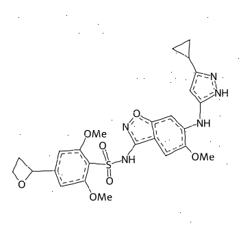 COc1cc2c(NS(=O)(=O)c3c(OC)cc(C4CCO4)cc3OC)noc2cc1Nc1cc(C2CC2)n[nH]1